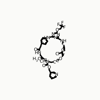 CC1(C)CNC(=O)c2ccc(cc2)Nc2nc(nc(OCC(F)(F)F)n2)NCc2ccc(c(Cl)c2)OCCCN(C(=O)OCc2cccnc2)C1